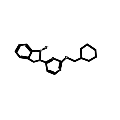 [O-][S+]1c2ccccc2CN1c1ccnc(OCC2CCCCC2)n1